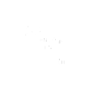 CC(C)[C@@H]1CC[C@@H](C)C[C@@H]1NC(=O)NCc1ccc2c(c1)OCO2